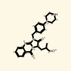 CC(C)CC1C(=O)N(Cc2ccc(N3CCNCC3)cc2)c2nc3ccccc3c(=O)n21.Cl